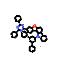 c1ccc(-c2cc(-c3ccccc3)cc(-n3c4ccccc4c4ccc5oc6cc(-c7nc(-c8ccccc8)nc(-c8ccccc8)n7)ccc6c5c43)c2)cc1